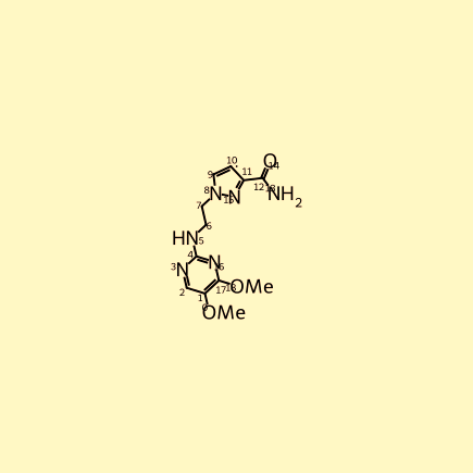 COc1cnc(NCCn2c[c]c(C(N)=O)n2)nc1OC